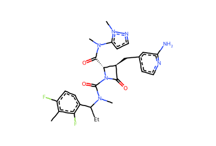 CCC(c1ccc(F)c(C)c1F)N(C)C(=O)N1C(=O)[C@H](Cc2ccnc(N)c2)[C@H]1C(=O)N(C)c1ccnn1C